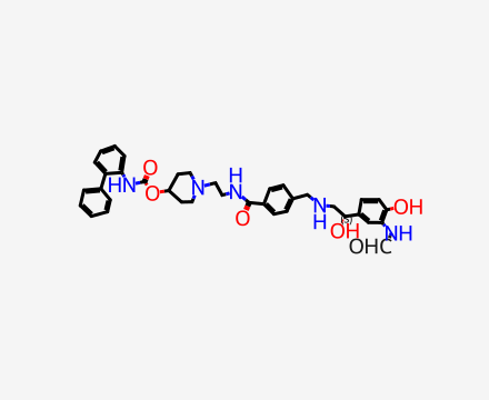 O=CNc1cc([C@H](O)CNCc2ccc(C(=O)NCCN3CCC(OC(=O)Nc4ccccc4-c4ccccc4)CC3)cc2)ccc1O